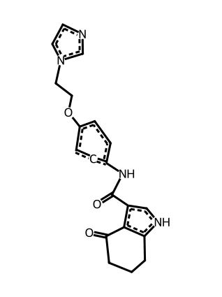 O=C(Nc1ccc(OCCn2ccnc2)cc1)c1c[nH]c2c1C(=O)CCC2